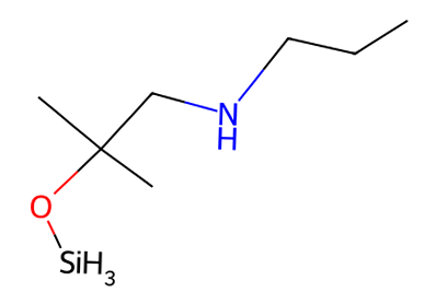 CCCNCC(C)(C)O[SiH3]